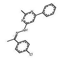 C/C(=N/Nc1cc(-c2ccccc2)nc(C)n1)c1ccc(Cl)cc1